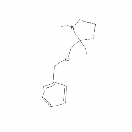 [CH2]C1(COCc2ccccc2)CCCN1C